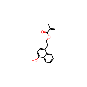 C=C(C)C(=O)OCCc1ccc(O)c2ccccc12